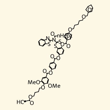 C#CC(=O)OCCCCOc1c(OC)cc(C(=O)Oc2ccc(C(=O)Oc3ccc(OC(=O)c4ccc(OCCCCCOCC5CC6CC(C5)O6)cc4)c(SC(=S)N(C(=O)CCCCCCC)c4nc5ccccc5s4)c3)cc2)cc1OC